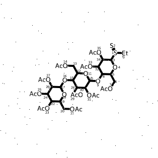 CCS(=S)C1OC(COC(C)=O)C(OC2OC(COC(C)=O)C(OC3OC(COC(C)=O)C(OC(C)=O)C(OC(C)=O)C3OC(C)=O)C(OC(C)=O)C2OC(C)=O)C(OC(C)=O)C1OC(C)=O